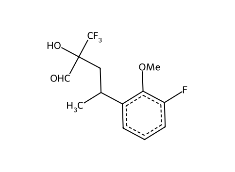 COc1c(F)cccc1C(C)CC(O)(C=O)C(F)(F)F